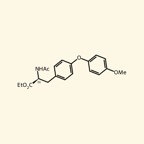 CCOC(=O)[C@H](Cc1ccc(Oc2ccc(OC)cc2)cc1)NC(C)=O